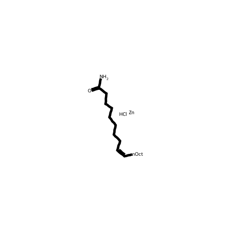 CCCCCCCC/C=C\CCCCCCCC(N)=O.Cl.[Zn]